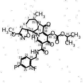 COC1=NO[C@@]2(CC[C@H](C)N3C[C@H]2n2cc(C(=O)NCc4ccc(F)cc4F)c(=O)c(OC(=O)OC(C)C)c2C3=O)C1